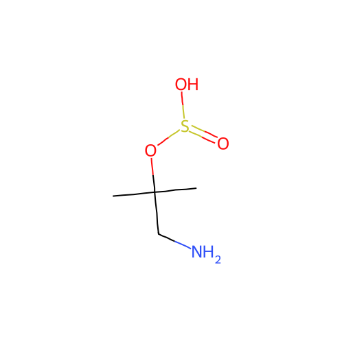 CC(C)(CN)OS(=O)O